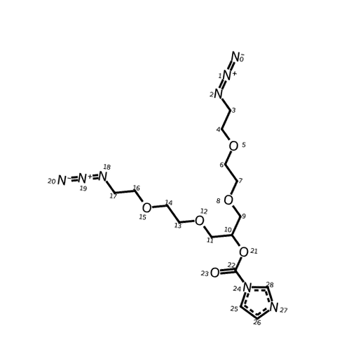 [N-]=[N+]=NCCOCCOCC(COCCOCCN=[N+]=[N-])OC(=O)n1ccnc1